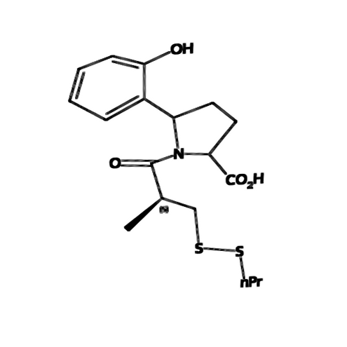 CCCSSC[C@@H](C)C(=O)N1C(C(=O)O)CCC1c1ccccc1O